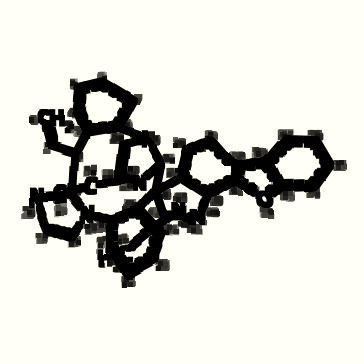 C=CC1c2ccccc2N2C=CN3CCCN4C=CN(c5ccccc5C5(c6ccc7c(oc8ccccc87)c6N6C=CN(C)C65)C32)C14